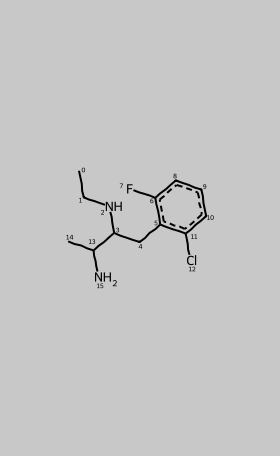 CCNC(Cc1c(F)cccc1Cl)C(C)N